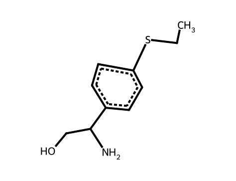 CCSc1ccc(C(N)CO)cc1